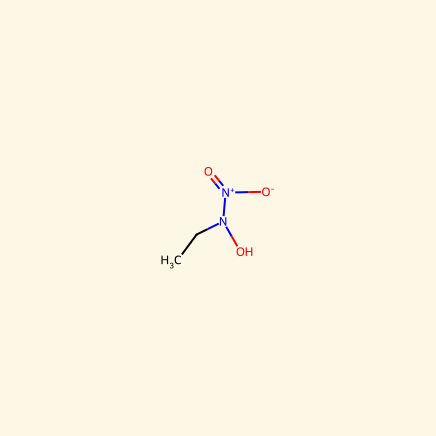 CCN(O)[N+](=O)[O-]